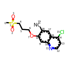 CS(=O)(=O)CCCOc1cc2nccc(Cl)c2cc1C#N